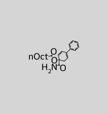 CCCCCCCCC(=O)OC1(C(N)=O)C=CC(c2ccccc2)=CC1